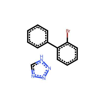 Brc1ccccc1-c1ccccc1.c1nnn[nH]1